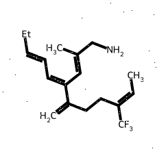 C=C(CC/C(=C\C)C(F)(F)F)C(/C=C(\C)CN)=C/C=C/CC